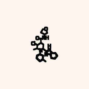 Cc1cccc(N2C(c3nc4ccccc4[nH]3)CC(C(=O)NC3CCOC3)C(Cl)C2C)c1